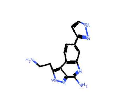 NCCc1[nH]nc2c(N)nc3cc(-c4cc[nH]n4)ccc3c12